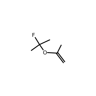 C=C(C)OC(C)(C)F